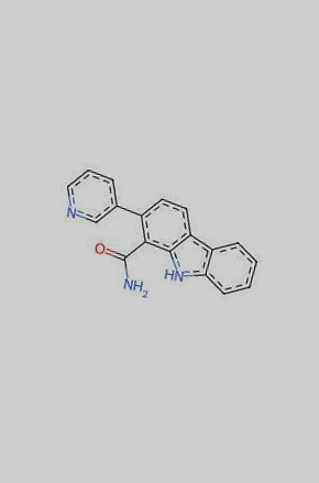 NC(=O)c1c(-c2cccnc2)ccc2c1[nH]c1ccccc12